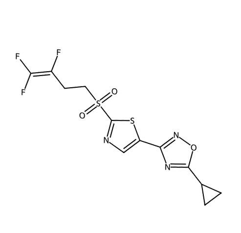 O=S(=O)(CCC(F)=C(F)F)c1ncc(-c2noc(C3CC3)n2)s1